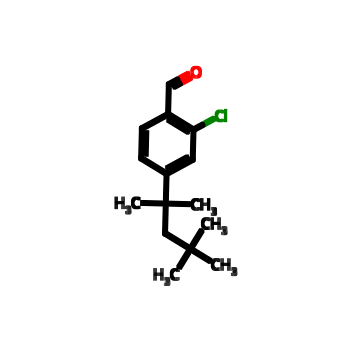 CC(C)(C)CC(C)(C)c1ccc(C=O)c(Cl)c1